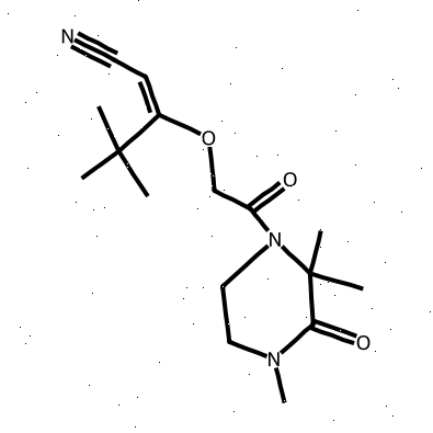 CN1CCN(C(=O)COC(=CC#N)C(C)(C)C)C(C)(C)C1=O